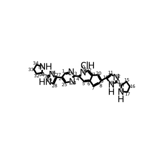 Cl.c1nc(-c2cc3ccc(-c4cnc([C@@H]5CCCN5)[nH]4)cc3cn2)ncc1-c1c[nH]c([C@@H]2CCCN2)n1